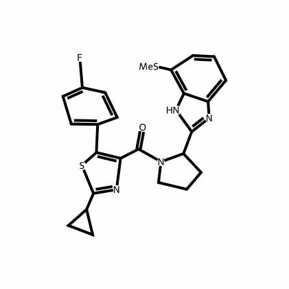 CSc1cccc2nc(C3CCCN3C(=O)c3nc(C4CC4)sc3-c3ccc(F)cc3)[nH]c12